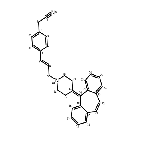 N#CCc1ccc(C=CCN2CCC(=C3c4ccccc4C=Cc4ccccc43)CC2)cc1